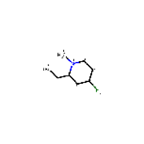 CN1CCC(F)CC1CC(C)(C)C